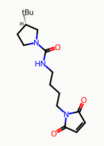 CC(C)(C)[C@H]1CCN(C(=O)NCCCCN2C(=O)C=CC2=O)C1